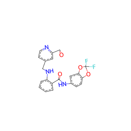 O=Cc1cc(CNc2ccccc2C(=O)Nc2ccc3c(c2)OC(F)(F)O3)ccn1